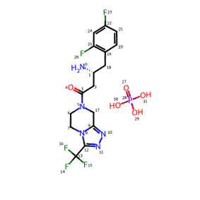 N[C@@H](CC(=O)N1CCn2c(nnc2C(F)(F)F)C1)Cc1ccc(F)cc1F.O=P(O)(O)O